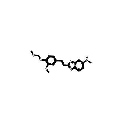 CNc1ccc2nc(C=Cc3ccc(OCOC)c(OC)c3)sc2c1